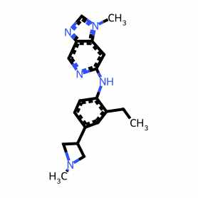 CCc1cc(C2CN(C)C2)ccc1Nc1cc2c(cn1)ncn2C